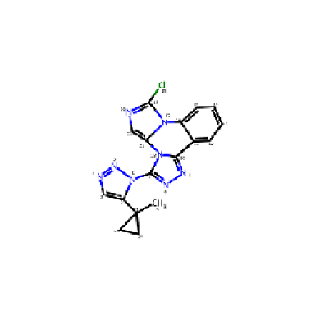 CC1(c2cnnn2-c2nnc3c4ccccc4n4c(Cl)ncc4n23)CC1